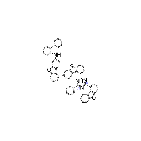 N/C(=N\C(=N/Cc1cccc2sc3cc(-c4cccc5oc6cc(Nc7ccccc7-c7ccccc7)ccc6c45)ccc3c12)c1cccc2oc3ccccc3c12)c1ccccc1